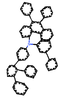 c1ccc(-c2cccc(N(c3ccc(-c4cccc(-c5ccccc5)c4-c4ccccc4)cc3)c3cccc4c(-c5ccccc5)c(-c5ccccc5)c5ccccc5c34)c2)cc1